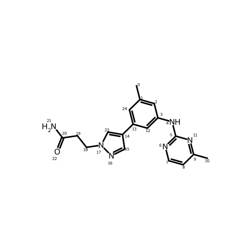 Cc1cc(Nc2nccc(C)n2)cc(-c2cnn(CCC(N)=O)c2)c1